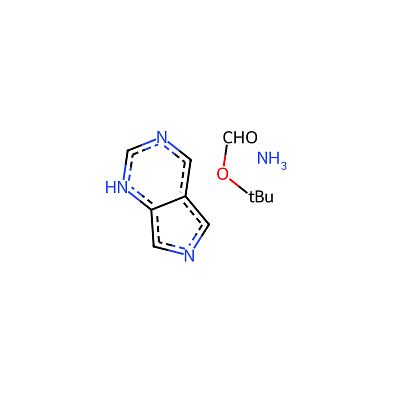 CC(C)(C)OC=O.N.c1ncc2cncc-2[nH]1